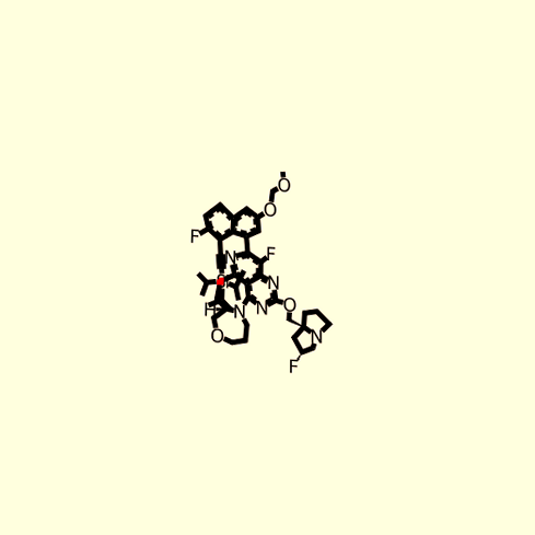 COCOc1cc(-c2nc3c4c(nc(OC[C@@]56CCCN5C[C@H](F)C6)nc4c2F)N2CCCOC[C@@H]2CC3)c2c(C#C[Si](C(C)C)(C(C)C)C(C)C)c(F)ccc2c1